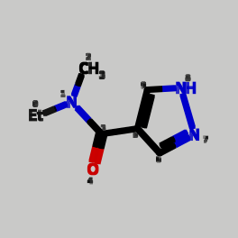 CCN(C)C(=O)c1cn[nH]c1